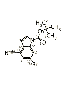 CC(C)(C)OC(=O)n1ccc2c(C#N)cc(Br)cc21